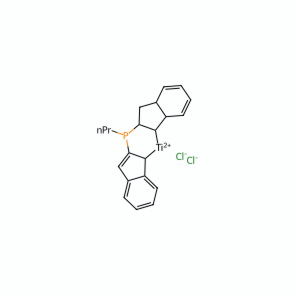 CCCP1C2=Cc3ccccc3[CH]2[Ti+2][CH]2C3C=CC=CC3CC21.[Cl-].[Cl-]